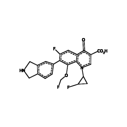 O=C(O)c1cn(C2CC2F)c2c(OCF)c(-c3ccc4c(c3)CNC4)c(F)cc2c1=O